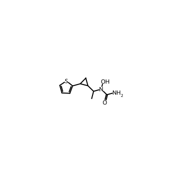 CC(C1CC1c1cccs1)N(O)C(N)=O